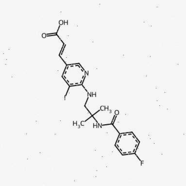 CC(C)(CNc1ncc(/C=C/C(=O)O)cc1I)NC(=O)c1ccc(F)cc1